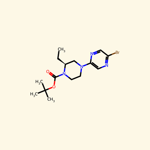 CC[C@H]1CN(c2cnc(Br)cn2)CCN1C(=O)OC(C)(C)C